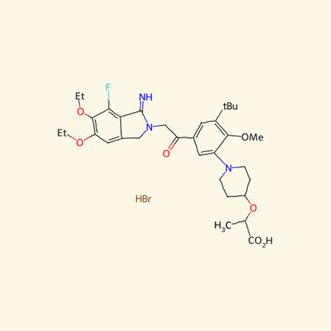 Br.CCOc1cc2c(c(F)c1OCC)C(=N)N(CC(=O)c1cc(N3CCC(OC(C)C(=O)O)CC3)c(OC)c(C(C)(C)C)c1)C2